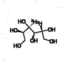 [2H][C@@](O)([C@H](O)CO)[C@H](O)[C@]([2H])(O)CO